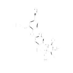 CCc1cc(C#N)ccc1Oc1ccc(N2C(=O)NC(=O)C2(C)C)cn1